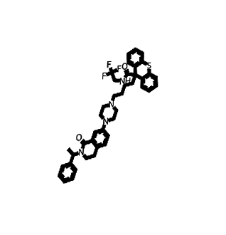 CC(c1ccccc1)N1CCc2ccc(N3CCN(CCCCC4(C(=O)NCC(F)(F)F)c5ccccc5Sc5ccccc54)CC3)cc2C1=O